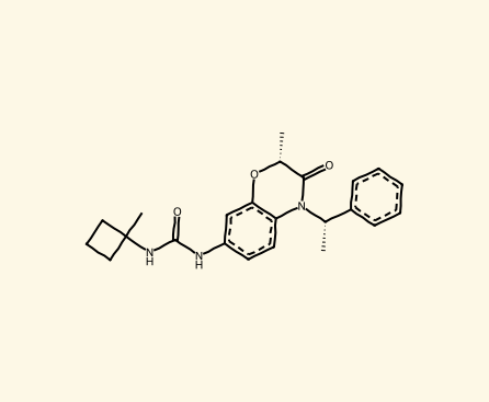 C[C@H]1Oc2cc(NC(=O)NC3(C)CCC3)ccc2N([C@@H](C)c2ccccc2)C1=O